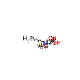 CCCCCCCCN(C(=O)c1cccs1)c1ccc(C(=O)O)c(O)c1